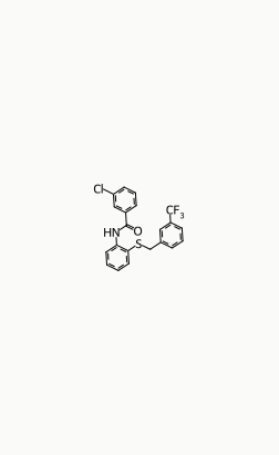 O=C(Nc1ccccc1SCc1cccc(C(F)(F)F)c1)c1cccc(Cl)c1